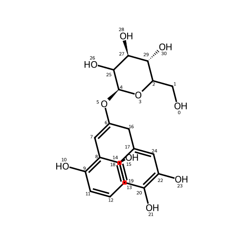 OCC1O[C@@H](O/C(=C/c2c(O)cccc2O)Cc2ccc(O)c(O)c2)C(O)[C@@H](O)[C@@H]1O